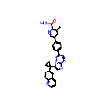 Cc1cc(-c2ccc(-c3cnc4ncc(C5(c6ccc7ncccc7c6)CC5)n4n3)cc2)cnc1C(N)=O